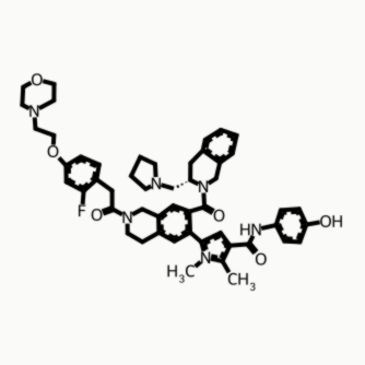 Cc1c(C(=O)Nc2ccc(O)cc2)cc(-c2cc3c(cc2C(=O)N2Cc4ccccc4C[C@H]2CN2CCCC2)CN(C(=O)Cc2ccc(OCCN4CCOCC4)cc2F)CC3)n1C